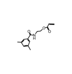 C=CC(=O)OCCNC(=O)c1cc(C)cc(C)c1